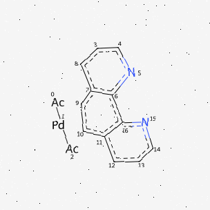 C[C](=O)[Pd][C](C)=O.c1cnc2c(c1)ccc1cccnc12